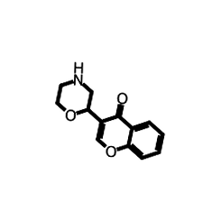 O=c1c(C2CNCCO2)coc2ccccc12